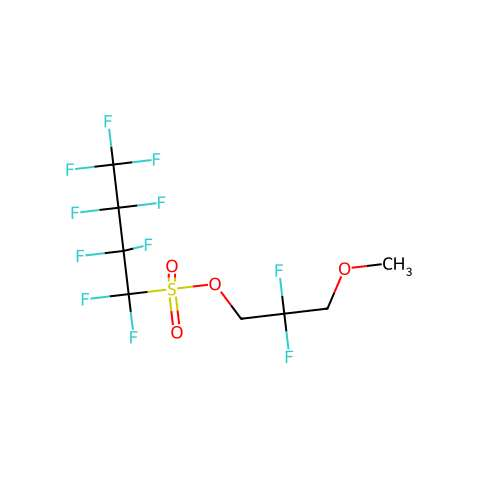 COCC(F)(F)COS(=O)(=O)C(F)(F)C(F)(F)C(F)(F)C(F)(F)F